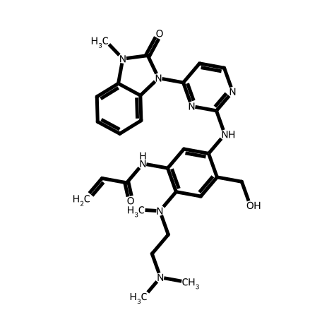 C=CC(=O)Nc1cc(Nc2nccc(-n3c(=O)n(C)c4ccccc43)n2)c(CO)cc1N(C)CCN(C)C